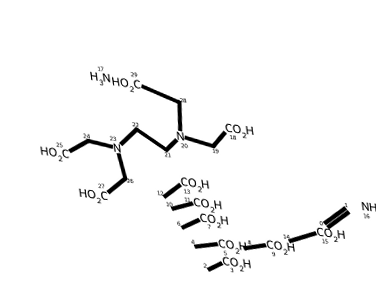 C=C.CC(=O)O.CC(=O)O.CC(=O)O.CC(=O)O.CC(=O)O.CC(=O)O.CC(=O)O.N.N.O=C(O)CN(CCN(CC(=O)O)CC(=O)O)CC(=O)O